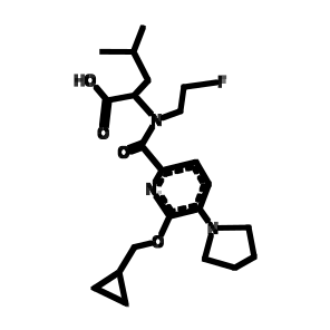 CC(C)CC(C(=O)O)N(CCF)C(=O)c1ccc(N2CCCC2)c(OCC2CC2)n1